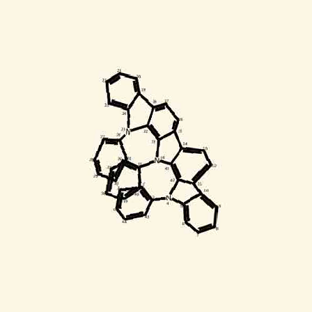 c1ccc(-n2c3ccccc3c3ccc4c5ccc6c7ccccc7n(-c7ccccc7)c6c5n(-c5ccccc5)c4c32)cc1